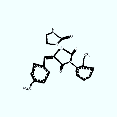 O=C(O)c1ccc(C=C2SC(=S)N(c3ccccc3C(F)(F)F)C2=O)cc1.O=C1NCCS1